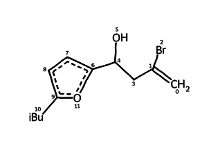 C=C(Br)CC(O)c1ccc(C(C)CC)o1